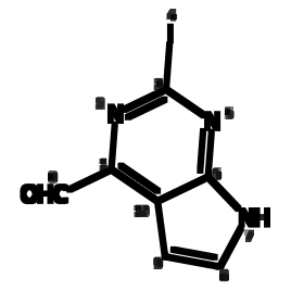 O=Cc1nc(I)nc2[nH]ccc12